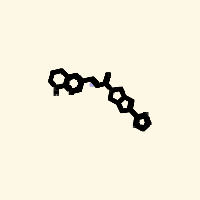 O=C(/C=C/c1cnc2c(c1)CCCN2)N1CC2C=C(c3nccs3)CC2C1